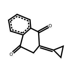 O=C1CC(=C2CC2)C(=O)c2ccccc21